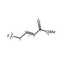 COC(=O)/C=C/CC(F)(F)F